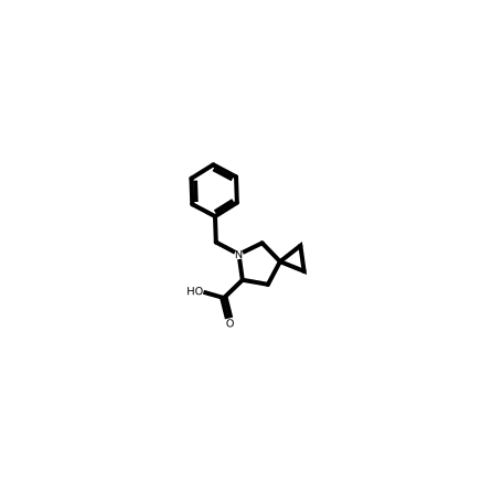 O=C(O)C1CC2(CC2)CN1Cc1ccccc1